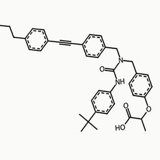 CCCCc1ccc(C#Cc2ccc(CN(Cc3ccc(OC(C)C(=O)O)cc3)C(=O)Nc3ccc(C(C)(C)C)cc3)cc2)cc1